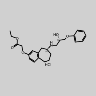 CCOC(=O)COc1ccc2c(c1)C[C@@H](NC[C@H](O)COc1ccccc1)CCC2.Cl